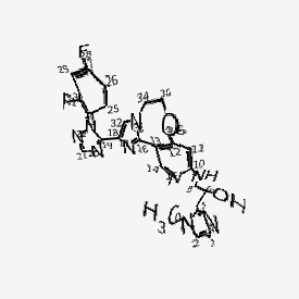 Cn1ccnc1C(O)CNc1cc2c(cn1)-c1nc(-c3ncnn3-c3ccc(F)cc3F)cn1CCO2